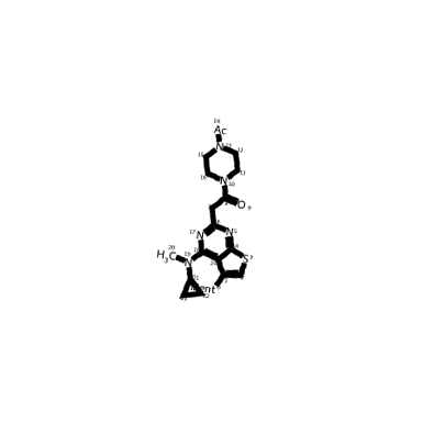 CCCCCc1csc2nc(CC(=O)N3CCN(C(C)=O)CC3)nc(N(C)C3CC3)c12